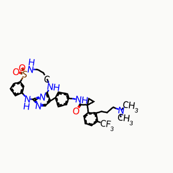 CN(C)CCCc1c(C(F)(F)F)cccc1C1(C(=O)Nc2ccc(-c3cnc4nc3NCCCNS(=O)(=O)c3cccc(c3)N4)cc2)CC1